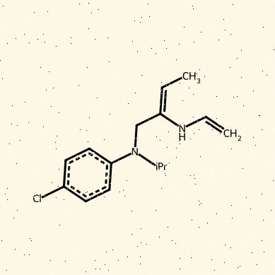 C=CN/C(=C\C)CN(c1ccc(Cl)cc1)C(C)C